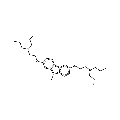 CCCN(CCC)CCOc1ccc2c(c1)c1ccc(OCCN(CCC)CCC)cc1n2C